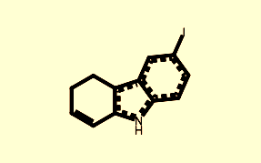 Ic1ccc2[nH]c3c(c2c1)CCC=C3